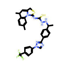 Cc1ccc2c(c1)N1C(=CC2C)CS/C1=N\C(S)NNC(C)c1ccc(-c2ncn(-c3ccc(C(F)(F)F)cc3)n2)cc1